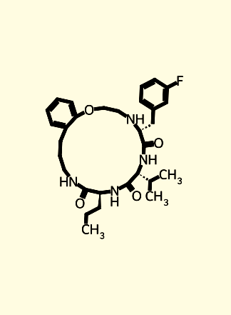 CCC[C@@H]1NC(=O)[C@@H](C(C)C)NC(=O)[C@@H](Cc2cccc(F)c2)NCCOc2ccccc2CCCNC1=O